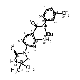 CCC(C)N(C(=O)c1cnc(N2CC(C)(C)NC2=O)nc1N)c1cccc(C(F)(F)F)c1